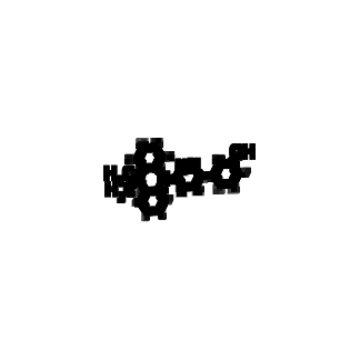 CC1(C)c2ccccc2N(c2ccc(-c3cccc(O)c3)nn2)c2ccccc21